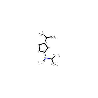 CC(C)[C@@H]1CC[C@@H](N(C)C(C)C)C1